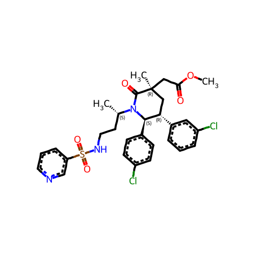 COC(=O)C[C@@]1(C)C[C@H](c2cccc(Cl)c2)[C@@H](c2ccc(Cl)cc2)N([C@@H](C)CCNS(=O)(=O)c2cccnc2)C1=O